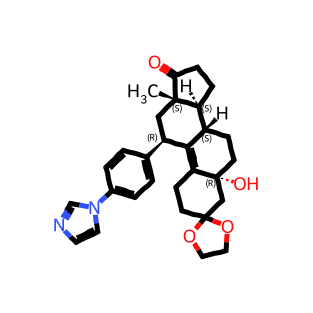 C[C@]12C[C@H](c3ccc(-n4ccnc4)cc3)C3=C4CCC5(C[C@]4(O)CC[C@H]3[C@@H]1CCC2=O)OCCO5